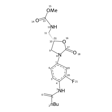 C=C(CCCC)Nc1ccc(N2C[C@H](CNC(=O)OC)OC2=O)cc1F